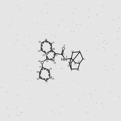 O=C(NC12CC3CC(CC(C3)C1)C2)c1nc(Oc2cccnc2)n2ccccc12